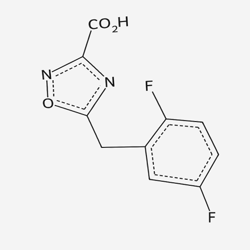 O=C(O)c1noc(Cc2cc(F)ccc2F)n1